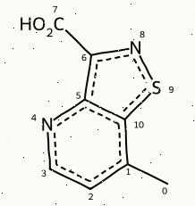 Cc1ccnc2c(C(=O)O)nsc12